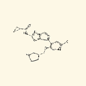 CN1CCC(COc2cnc(Cl)cc2-c2ccn3nc(NC(=O)C4CC4)cc3c2)C1